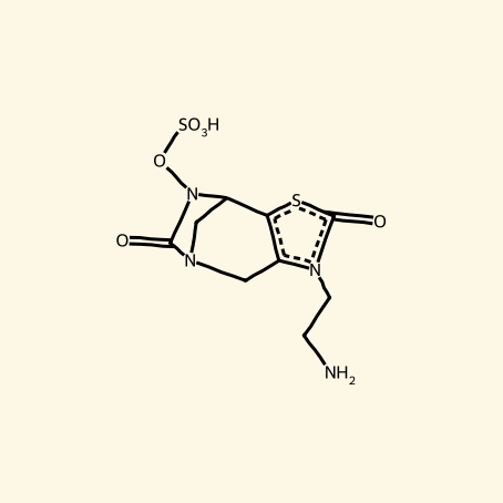 NCCn1c2c(sc1=O)C1CN(C2)C(=O)N1OS(=O)(=O)O